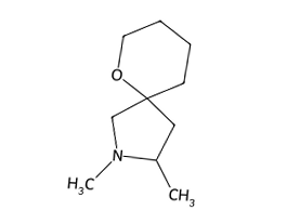 CC1CC2(CCCCO2)CN1C